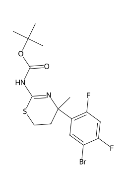 CC(C)(C)OC(=O)NC1=NC(C)(c2cc(Br)c(F)cc2F)CCS1